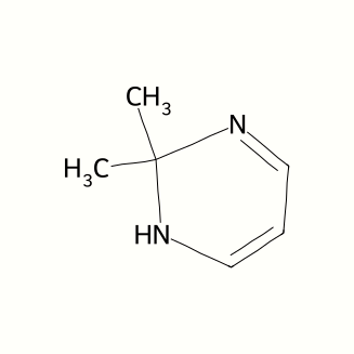 CC1(C)N=CC=CN1